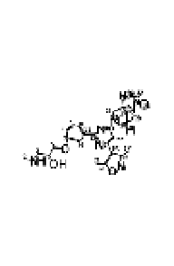 CNCC(O)COc1cccc(-c2nc(-c3c(C)noc3C)cc(N3C[C@H]4C[C@@H]3CN4S(C)(=O)=O)n2)c1